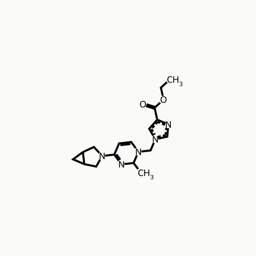 CCOC(=O)c1cn(CN2C=CC(N3CC4CC4C3)=NC2C)cn1